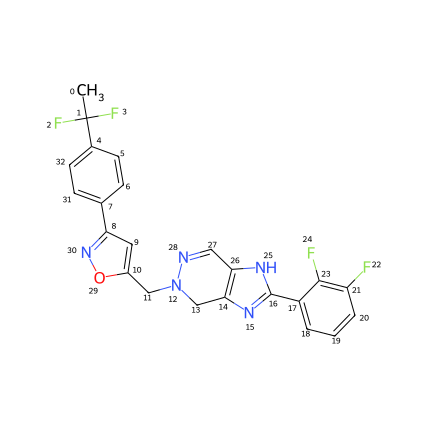 CC(F)(F)c1ccc(-c2cc(CN3Cc4nc(-c5cccc(F)c5F)[nH]c4C=N3)on2)cc1